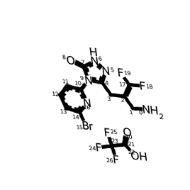 NCC(Cc1n[nH]c(=O)n1-c1cccc(Br)n1)=C(F)F.O=C(O)C(F)(F)F